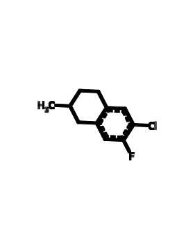 CC1CCc2cc(Cl)c(F)cc2C1